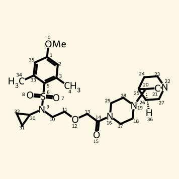 COc1cc(C)c(S(=O)(=O)N(CCOCC(=O)N2CCN([C@@H]3CN4CCC3CC4)CC2)C2CC2)c(C)c1